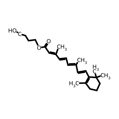 CC1=C(/C=C/C(C)=C/C=C/C(C)=C/C(=O)OCCCCO)C(C)(C)CCC1